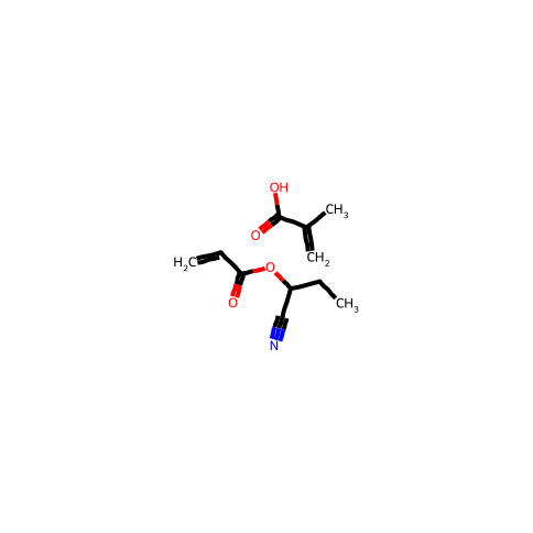 C=C(C)C(=O)O.C=CC(=O)OC(C#N)CC